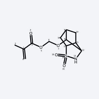 C=C(C)C(=O)OCOC1C2CC3C1NS(=O)(=O)C3C2